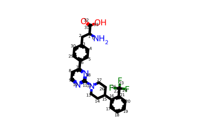 NC(Cc1ccc(-c2ccnc(N3CCC(c4ccccc4C(F)(F)F)CC3)n2)cc1)C(=O)O